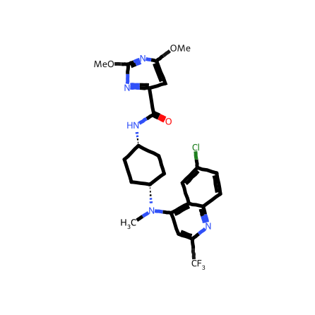 COc1cc(C(=O)N[C@H]2CC[C@@H](N(C)c3cc(C(F)(F)F)nc4ccc(Cl)cc34)CC2)nc(OC)n1